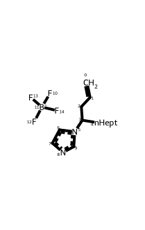 C=CCC(CCCCCCC)n1ccnc1.F[B-](F)(F)F